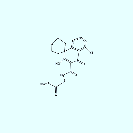 CC(C)(C)OC(=O)CNC(=O)C1=C(O)C2(CCOCC2)c2cccc(Cl)c2C1=O